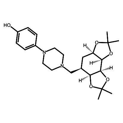 CC1(C)O[C@H]2[C@@H](O1)[C@@H](CN1CCN(c3ccc(O)cc3)CC1)C[C@H]1OC(C)(C)O[C@@H]21